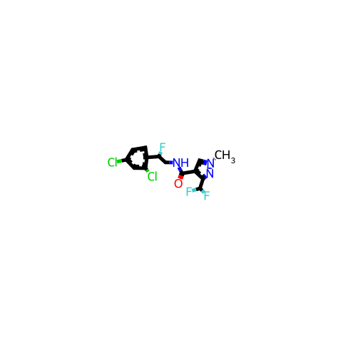 Cn1cc(C(=O)NCC(F)c2ccc(Cl)cc2Cl)c(C(F)F)n1